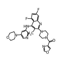 Cc1c(N2CCN(C(=O)c3cocn3)CC2)nc2cc(F)cc(F)c2c1Nc1cncc(N2CCOCC2)c1